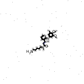 COc1cc(Nc2ncccc2/C=C/C(=O)N(C)CCCCCN)cc(C)c1OC